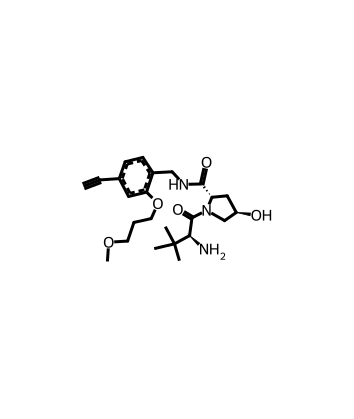 C#Cc1ccc(CNC(=O)[C@@H]2C[C@@H](O)CN2C(=O)[C@@H](N)C(C)(C)C)c(OCCCOC)c1